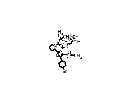 CC1OC(c2c(-c3ccc(Br)cc3)nc(C3CCCN3C(=O)OC(C)(C)C)n2COCC[Si](C)(C)C)O1